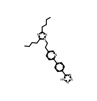 CCCCc1nc(CCCC)n(CCc2ccc(-c3ccc(-c4nnn[nH]4)cc3)nc2)n1